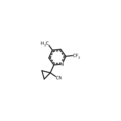 Cc1cc(C(F)(F)F)nc(C2(C#N)CC2)c1